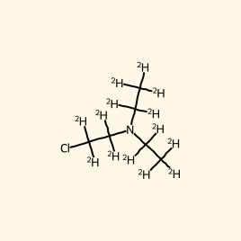 [2H]C([2H])([2H])C([2H])([2H])N(C([2H])([2H])C([2H])([2H])[2H])C([2H])([2H])C([2H])([2H])Cl